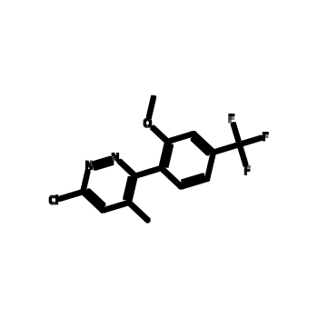 COc1cc(C(F)(F)F)ccc1-c1nnc(Cl)cc1C